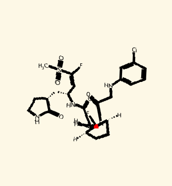 CS(=O)(=O)/C(F)=C\[C@@H](C[C@H]1CCNC1=O)NC(=O)[C@H]1[C@@H]2CC[C@@H](CC2(F)F)N1C(=O)CNc1cccc(Cl)c1